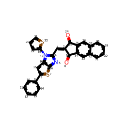 O=C1C(=Cc2nc3sc(-c4ccccc4)cc3n2-c2cccs2)C(=O)c2cc3ccccc3cc21